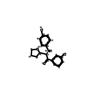 O=C(c1cccc(Cl)c1)[C@@H](Nc1ccc(Cl)cc1)[C@H]1CCCO1